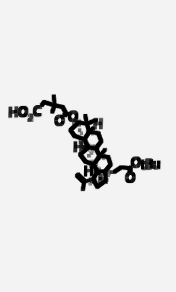 C=C(C)[C@@H]1CC[C@]2(CCC(=O)OC(C)(C)C)CC[C@]3(C)[C@H](CC[C@@H]4[C@@]5(C)CC[C@H](OC(=O)CC(C)(C)CC(=O)O)C(C)(C)[C@@H]5CC[C@]43C)[C@@H]12